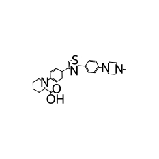 CN1CCN(c2ccc(-c3nc(-c4ccc(N5CCCCC5C(=O)O)cc4)cs3)cc2)CC1